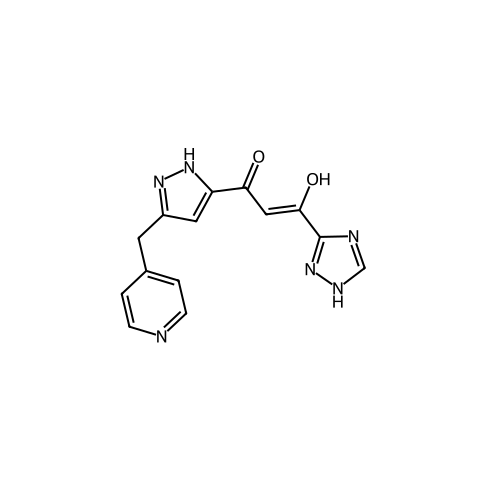 O=C(C=C(O)c1nc[nH]n1)c1cc(Cc2ccncc2)n[nH]1